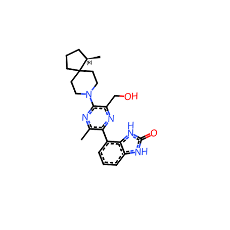 Cc1nc(N2CCC3(CCC[C@H]3C)CC2)c(CO)nc1-c1cccc2[nH]c(=O)[nH]c12